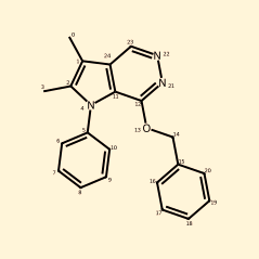 Cc1c(C)n(-c2ccccc2)c2c(OCc3ccccc3)nncc12